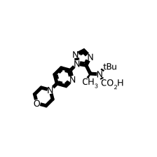 C[C@@H](c1ncnn1-c1ccc(N2CCOCC2)cn1)N(C(=O)O)C(C)(C)C